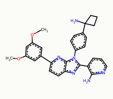 COc1cc(OC)cc(-c2ccc3nc(-c4cccnc4N)n(-c4ccc(C5(N)CCC5)cc4)c3n2)c1